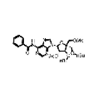 CCCCOC[C@@]1(COC)O[C@@H](n2cnc3c(NC(=O)c4ccccc4)ncnc32)[C@@H](OC(C)=O)C1OCCCC